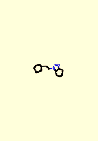 [c]1cccc2c1nnn2/C=C/c1ccccc1